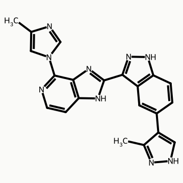 Cc1cn(-c2nccc3[nH]c(-c4n[nH]c5ccc(-c6c[nH]nc6C)cc45)nc23)cn1